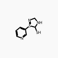 SC1NCN=S1c1cccnc1